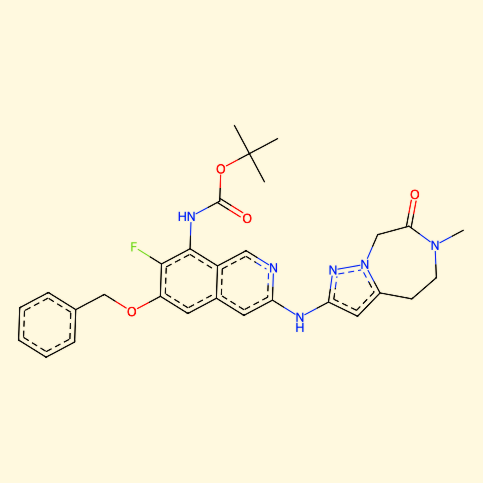 CN1CCc2cc(Nc3cc4cc(OCc5ccccc5)c(F)c(NC(=O)OC(C)(C)C)c4cn3)nn2CC1=O